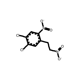 O=[N+]([O-])CCc1cc(Cl)c(Cl)cc1[N+](=O)[O-]